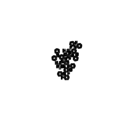 CN1c2cc(N(c3ccccc3)c3c(F)cccc3F)cc3c2B(c2ccccc2O3)c2sc3c(c21)Oc1cc(N(c2ccccc2)c2ccccc2)cc2c1B3c1sc3c(c1N2C)N(C)c1cc(N(c2ccccc2)c2c(F)cccc2F)cc2c1B3c1ccccc1O2